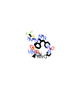 CO[C@@H]1CCN(C(=O)N2CCC(c3ncnc4c3c3ccc(S(=O)(=O)NC5(C#N)CC5)cc3n4-c3nnc(C(F)F)s3)CC2)C1